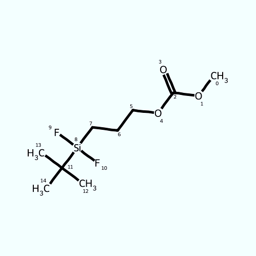 COC(=O)OCCC[Si](F)(F)C(C)(C)C